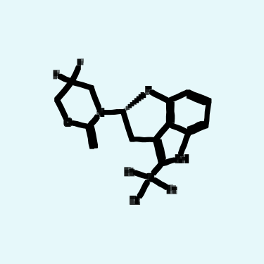 C=C1OCC(F)(F)CN1[C@H](C)Cc1c([Si](CC)(CC)CC)[nH]c2cccc(F)c12